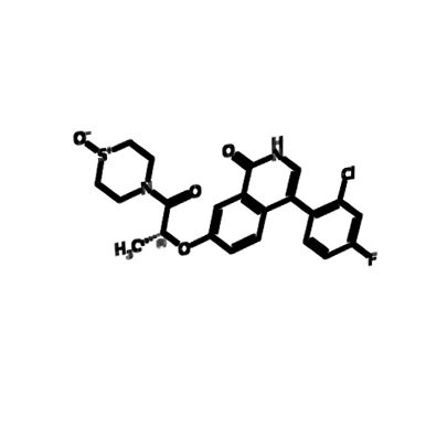 C[C@@H](Oc1ccc2c(-c3ccc(F)cc3Cl)c[nH]c(=O)c2c1)C(=O)N1CC[S+]([O-])CC1